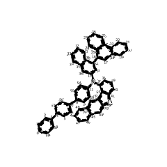 c1ccc(-c2ccc(-c3ccc(N(c4cc(-c5cc6ccccc6c6ccccc56)c5ccccc5c4)c4cccc5oc6cc7ccccc7cc6c45)cc3)cc2)cc1